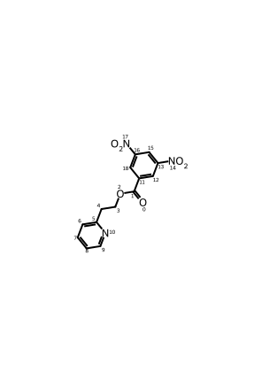 O=C(OCCc1ccccn1)c1cc([N+](=O)[O-])cc([N+](=O)[O-])c1